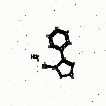 Br.CCN1COC=C1c1ccccc1